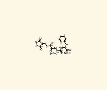 CNC(=O)[C@H](Cc1ccccc1)NC(=O)[C@H](CC(C)C)NC(=O)C(S)CCN1C(=O)CCC1=O